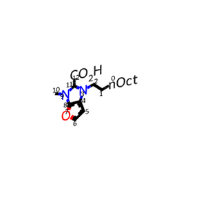 CCCCCCCCCCN1c2ccoc2N(C)C1C(=O)O